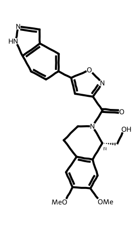 COc1cc2c(cc1OC)[C@@H](CO)N(C(=O)c1cc(-c3ccc4[nH]ncc4c3)on1)CC2